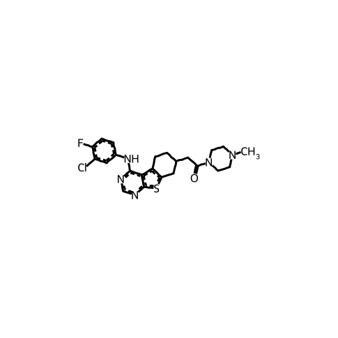 CN1CCN(C(=O)CC2CCc3c(sc4ncnc(Nc5ccc(F)c(Cl)c5)c34)C2)CC1